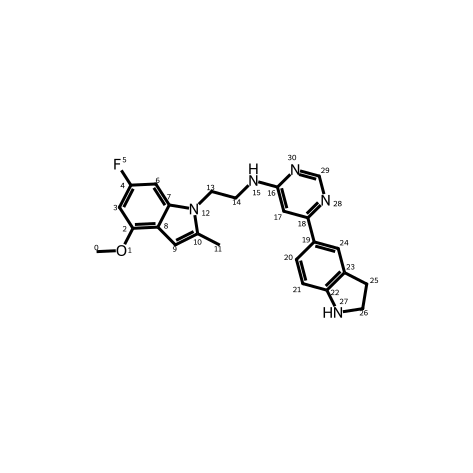 COc1cc(F)cc2c1cc(C)n2CCNc1cc(-c2ccc3c(c2)CCN3)ncn1